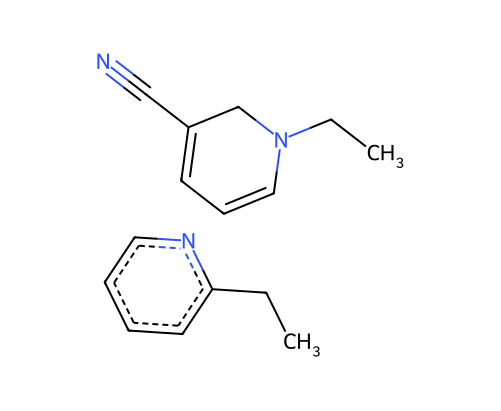 CCN1C=CC=C(C#N)C1.CCc1ccccn1